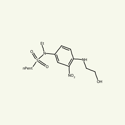 CCCCCS(=O)(=O)N(CC)c1ccc(NCCO)c([N+](=O)[O-])c1